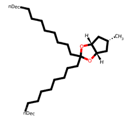 CCCCCCCCCCCCCCCCCCC1(CCCCCCCCCCCCCCCCCC)O[C@H]2C[C@@H](C)C[C@H]2O1